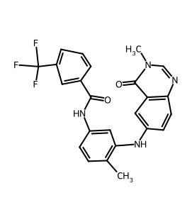 Cc1ccc(NC(=O)c2cccc(C(F)(F)F)c2)cc1Nc1ccc2ncn(C)c(=O)c2c1